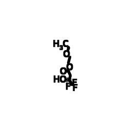 CCOCCOC(=O)C[C@@H](O)C(F)(F)F